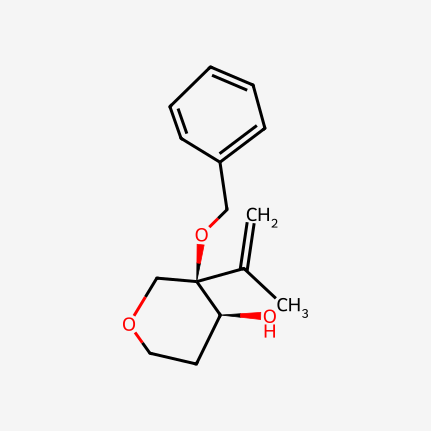 C=C(C)[C@@]1(OCc2ccccc2)COCC[C@@H]1O